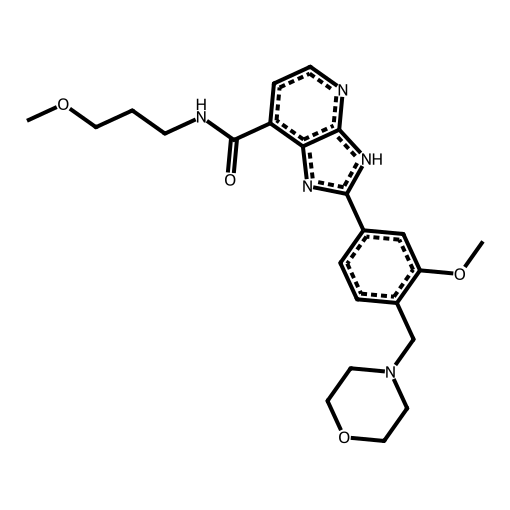 COCCCNC(=O)c1ccnc2[nH]c(-c3ccc(CN4CCOCC4)c(OC)c3)nc12